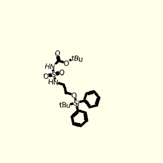 CC(C)(C)OC(=O)NS(=O)(=O)NCCO[Si](c1ccccc1)(c1ccccc1)C(C)(C)C